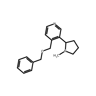 CN1CCCC1c1cnccc1COCc1ccccc1